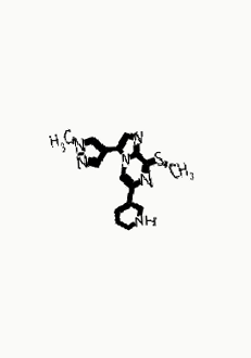 CSc1nc(C2=CCCNC2)cn2c(-c3cnn(C)c3)cnc12